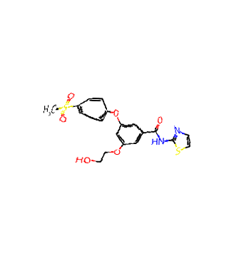 CS(=O)(=O)c1ccc(Oc2cc(OCCO)cc(C(=O)Nc3nccs3)c2)cc1